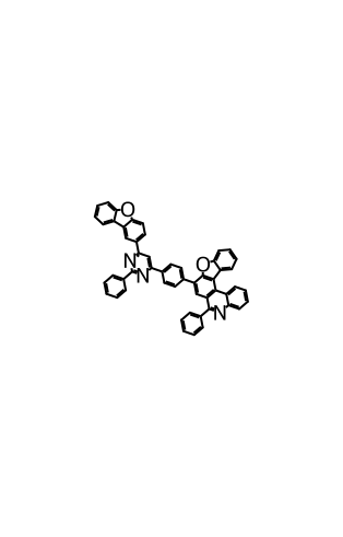 c1ccc(-c2nc(-c3ccc(-c4cc5c(-c6ccccc6)nc6ccccc6c5c5c4oc4ccccc45)cc3)cc(-c3ccc4oc5ccccc5c4c3)n2)cc1